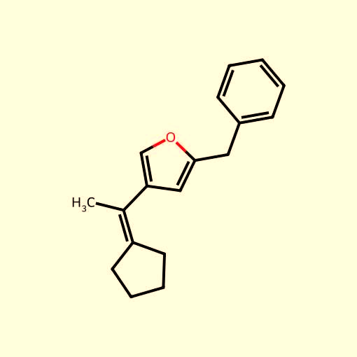 CC(=C1CCCC1)c1coc(Cc2ccccc2)c1